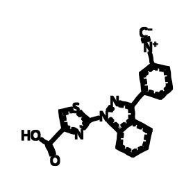 [C-]#[N+]c1cccc(-c2nn(-c3nc(C(=O)O)cs3)c3ccccc23)c1